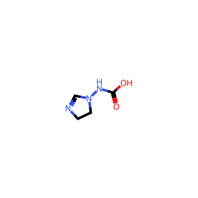 O=C(O)NN1C=NCC1